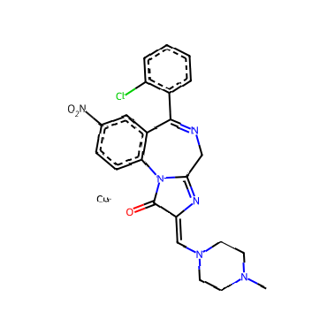 CN1CCN(/C=C2\N=C3CN=C(c4ccccc4Cl)c4cc([N+](=O)[O-])ccc4N3C2=O)CC1.[Cu]